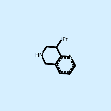 CC(C)C1CNCc2cccnc21